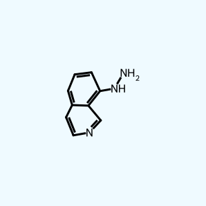 NNc1cccc2ccncc12